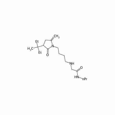 C=C1CC(C(C)(CC)CC)C(=O)N1CCCCNCC(=O)NCCC